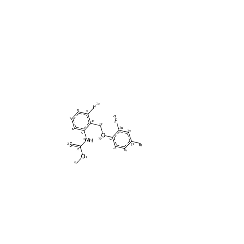 COC(=S)Nc1cccc(F)c1COc1ccc(C)cc1F